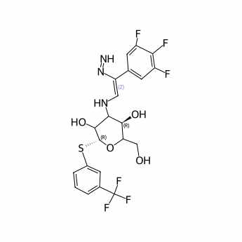 N=N/C(=C\NC1C(O)[C@@H](Sc2cccc(C(F)(F)F)c2)OC(CO)[C@@H]1O)c1cc(F)c(F)c(F)c1